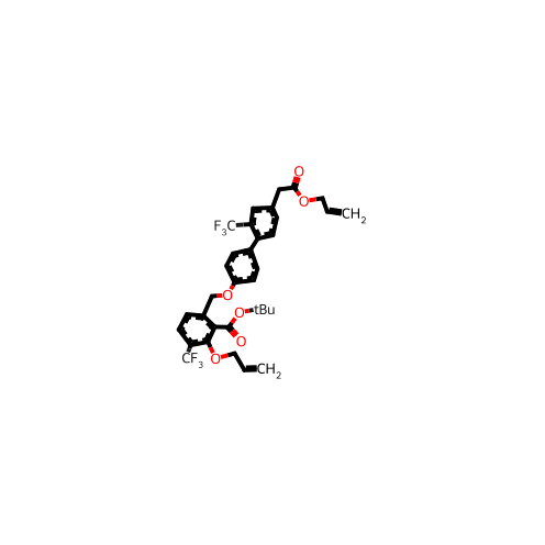 C=CCOC(=O)Cc1ccc(-c2ccc(OCc3ccc(C(F)(F)F)c(OCC=C)c3C(=O)OC(C)(C)C)cc2)c(C(F)(F)F)c1